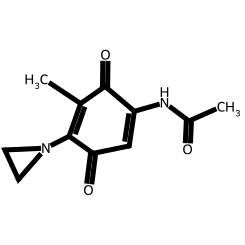 CC(=O)NC1=CC(=O)C(N2CC2)=C(C)C1=O